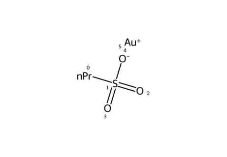 CCCS(=O)(=O)[O-].[Au+]